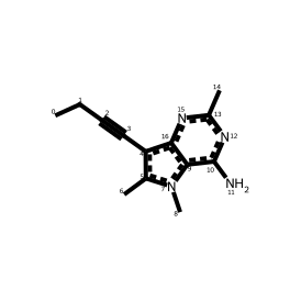 CCC#Cc1c(C)n(C)c2c(N)nc(C)nc12